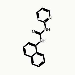 O=C(Nc1ncccn1)Nc1cccc2ccccc12